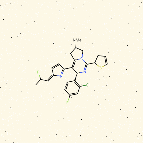 CN[C@H]1CC2=C(C3=N/C(=C/C(C)F)C=C3)[C@H](c3ccc(F)cc3Cl)N=C(C3CC=CS3)N2C1